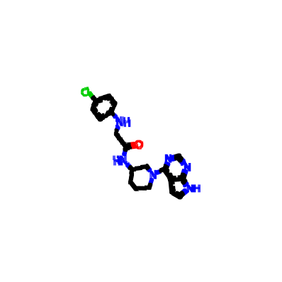 O=C(CNc1ccc(Cl)cc1)NC1CCCN(c2ncnc3[nH]ccc23)C1